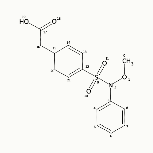 CON(c1ccccc1)S(=O)(=O)c1ccc(CC(=O)O)cc1